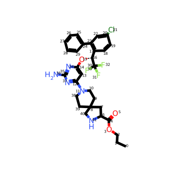 CCCOC(=O)C1CC2(CCN(c3cc(O[C@H](c4ccc(Cl)cc4-c4ccccc4)C(F)(F)F)nc(N)n3)CC2)CN1